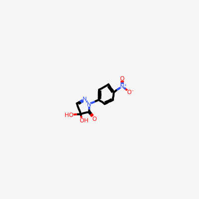 O=C1N(c2ccc([N+](=O)[O-])cc2)N=CC1(O)O